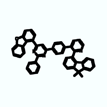 CC1(C)c2ccccc2-c2c(-c3ncccc3-c3ccc(-c4cc(-c5cccc6oc7ccccc7c56)nc(-c5ccccc5)n4)cc3)cccc21